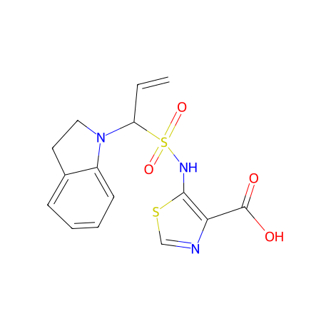 C=CC(N1CCc2ccccc21)S(=O)(=O)Nc1scnc1C(=O)O